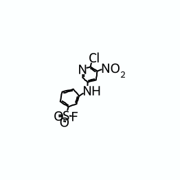 O=[N+]([O-])c1cc(Nc2cccc(S(=O)(=O)F)c2)cnc1Cl